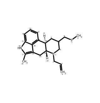 C=CCN1CC(CSC)C[C@@H]2c3cccc4[nH]c(C)c(c34)C[C@H]21